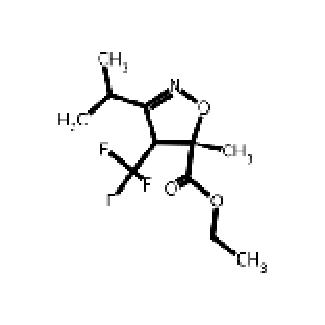 CCOC(=O)[C@@]1(C)ON=C(C(C)C)C1C(F)(F)F